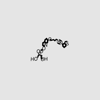 O=C(OCOc1ccc2ccc(OCCCCN3CCN(c4cccc5c4CCS5)CC3)cc2n1)N(CCO)CCO